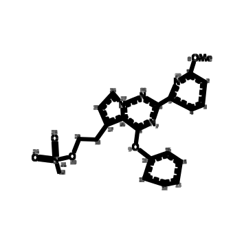 COc1cccc(-c2nc(Oc3ccccc3)c3c(CCOS(C)(=O)=O)ccn3n2)n1